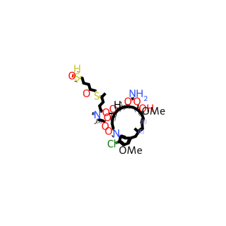 COc1cc2cc(c1Cl)N(C)C(=O)C[C@H](OC(=O)[C@H](C)N(C)C(=O)CCC(C)SCC(=O)CCC[SH](C)(C)=O)[C@]1(C)O[C@H]1[C@H](C)[C@@H](OC(N)=O)C[C@](C)(O)[C@H](OC)/C=C/C=C(\C)C2